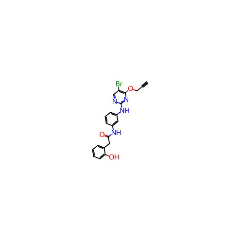 C#CCOc1nc(Nc2cccc(NC(=O)Cc3ccccc3O)c2)ncc1Br